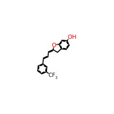 Oc1ccc2c(c1)O/C(=C/C=C/c1cccc(C(F)(F)F)c1)C2